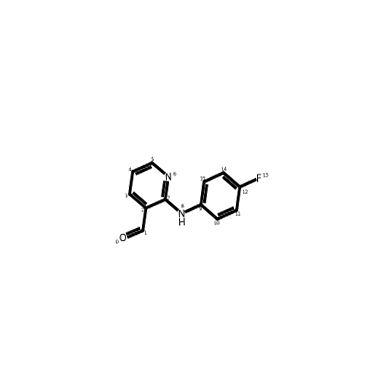 O=Cc1cccnc1Nc1ccc(F)cc1